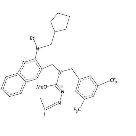 CCN(CC1CCCC1)c1nc2ccccc2cc1CN(Cc1cc(C(F)(F)F)cc(C(F)(F)F)c1)/C(=N/N=C(C)C)OC